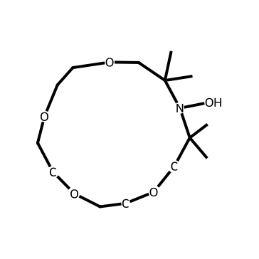 CC1(C)COCCOCCOCCOCC(C)(C)N1O